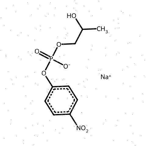 CC(O)COP(=O)([O-])Oc1ccc([N+](=O)[O-])cc1.[Na+]